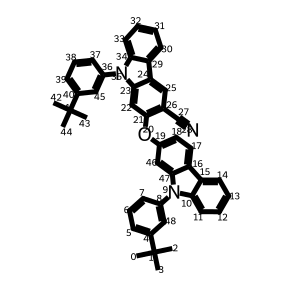 CC(C)(C)c1cccc(-n2c3ccccc3c3ccc(Oc4cc5c(cc4C#N)c4ccccc4n5-c4cccc(C(C)(C)C)c4)cc32)c1